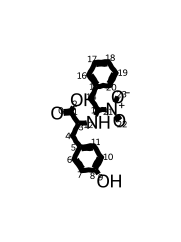 O=C(O)C(Cc1ccc(O)cc1)NC(Cc1ccccc1)[N+](=O)[O-]